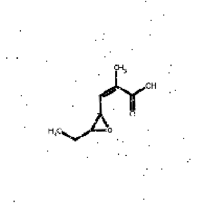 CCC1OC1C=C(C)C(=O)O